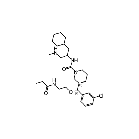 CCC(=O)NCCO[C@@H](c1cccc(Cl)c1)[C@@H]1CCCN(C(=O)NC(CNC)CC2CCCCC2)C1